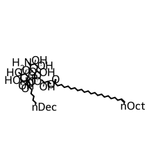 CCCCCCCC/C=C\CCCCCCCCCCCCCCCCCCCC(=O)OC[C@@H](O)COP(=O)(O)O[C@@H]1C(OC(=O)CCCCCCCCCCCCCCC)[C@H](O)C(O)C(O)[C@H]1O[C@H]1OC(CO)[C@@H](O)[C@H](O)C1N